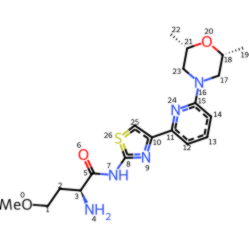 COCC[C@H](N)C(=O)Nc1nc(-c2cccc(N3C[C@@H](C)O[C@@H](C)C3)n2)cs1